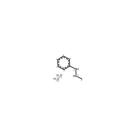 CNBc1ccccc1.O.O